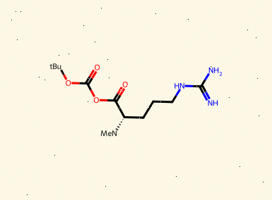 CN[C@@H](CCCNC(=N)N)C(=O)OC(=O)OC(C)(C)C